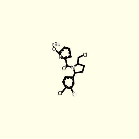 CCCCOc1cccc(C(=O)N2C(CCl)CCC2c2ccc(Cl)c(Cl)c2)n1